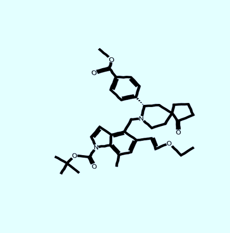 CCOC=Cc1cc(C)c2c(ccn2C(=O)OC(C)(C)C)c1CN1CCC2(CCCC2=O)C[C@H]1c1ccc(C(=O)OC)cc1